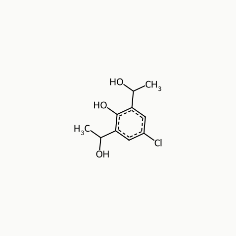 CC(O)c1cc(Cl)cc(C(C)O)c1O